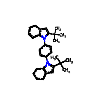 CC(C)(C)c1cc2ccccc2n1-c1ccc(-n2c(C(C)(C)C)cc3ccccc32)cc1